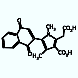 Cc1c(C(=O)O)c(CC(=O)O)n(C)c1C1=CC(=O)c2ccccc2C1=O